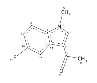 CC(=O)c1cn(C)c2ccc(F)cc12